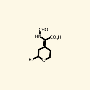 CCC1C/C(=C(\NC=O)C(=O)O)CCO1